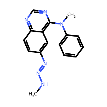 CNN=Nc1ccc2ncnc(N(C)c3ccccc3)c2c1